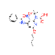 CCCCOc1cc(NCc2ccccc2)c([N+](=O)[O-])c(N(C(=O)O)C(C)(C)C)n1